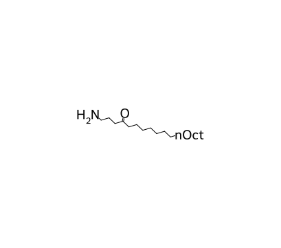 CCCCCCCCCCCCCCCC(=O)CCCN